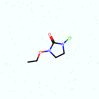 CCON1CCN(Cl)C1=O